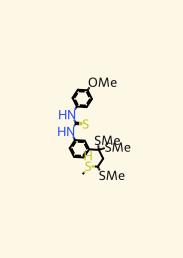 COc1ccc(NC(=S)Nc2ccc3c(c2)C(SC)(SC)CC(SC)[SH]3C)cc1